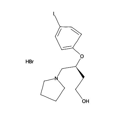 Br.OCC[C@@H](CN1CCCC1)Oc1ccc(I)cc1